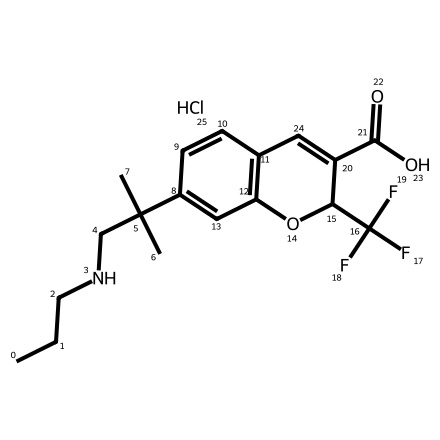 CCCNCC(C)(C)c1ccc2c(c1)OC(C(F)(F)F)C(C(=O)O)=C2.Cl